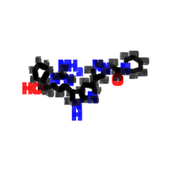 C[C@](O)(c1ccccc1)c1cc(-c2c[nH]c3ncc(-c4cnn(CC(=O)N5CCCCC5)c4)cc23)nc(N)n1